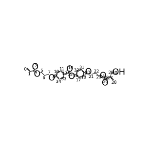 C=CC(=O)OCCCOc1ccc(C(=O)Oc2ccc(OCCCOC(=O)C(=C)CO)cc2)cc1